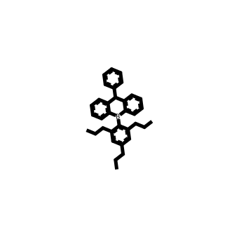 CCCc1cc(CCC)c(B2c3ccccc3C(c3ccccc3)c3ccccc32)c(CCC)c1